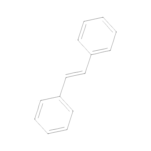 [c]1ccccc1C=Cc1[c]cccc1